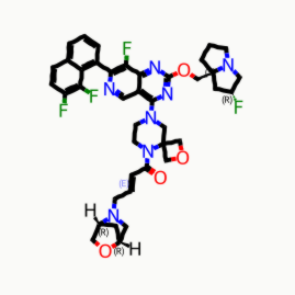 O=C(/C=C/CN1C[C@H]2C[C@@H]1CO2)N1CCN(c2nc(OC[C@@]34CCCN3C[C@H](F)C4)nc3c(F)c(-c4cccc5ccc(F)c(F)c45)ncc23)CC12COC2